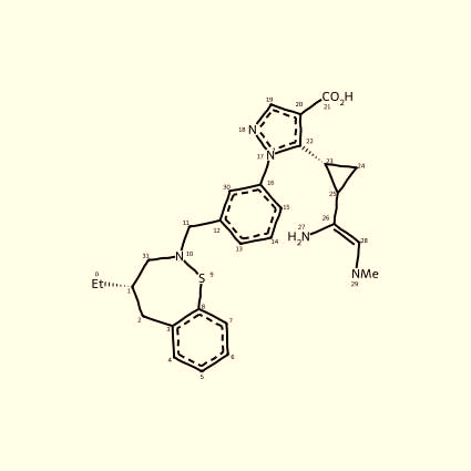 CC[C@H]1Cc2ccccc2SN(Cc2cccc(-n3ncc(C(=O)O)c3[C@@H]3CC3/C(N)=C/NC)c2)C1